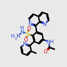 CC(=O)Nc1cc(-c2ncccc2C)c(S(=O)(=O)NN)c(-c2nccc3cccnc23)c1